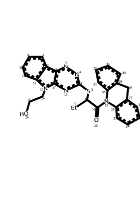 CCC(Sc1nnc2c3ccccc3n(CCO)c2n1)C(=O)N1c2ccccc2Cc2ccccc21